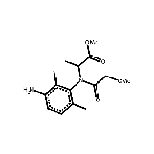 COCC(=O)N(c1c(C)ccc(N)c1C)C(C)C(=O)OC